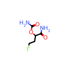 NC(=O)OC(CCF)C(N)=O